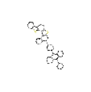 c1ccc(-c2c3ccccc3c(-c3ccc(-c4cc5sc6ccc7c8ccccc8sc7c6c5c5ccccc45)cc3)c3ccccc23)cc1